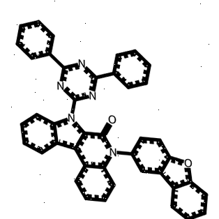 O=c1c2c(c3ccccc3n1-c1ccc3oc4ccccc4c3c1)c1ccccc1n2-c1nc(-c2ccccc2)nc(-c2ccccc2)n1